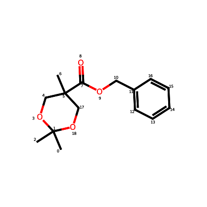 CC1(C)OCC(C)(C(=O)OCc2ccccc2)CO1